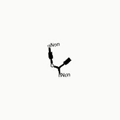 C#CC(CCCCCCCC[CH2])OC#CCCCCCCCCC